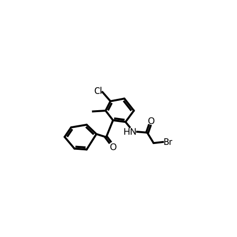 Cc1c(Cl)ccc(NC(=O)CBr)c1C(=O)c1ccccc1